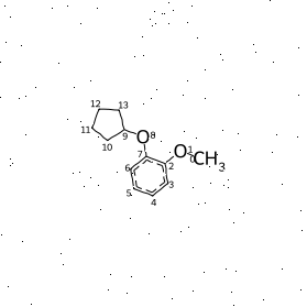 COc1ccccc1OC1CCCC1